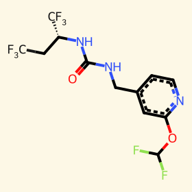 O=C(NCc1ccnc(OC(F)F)c1)N[C@H](CC(F)(F)F)C(F)(F)F